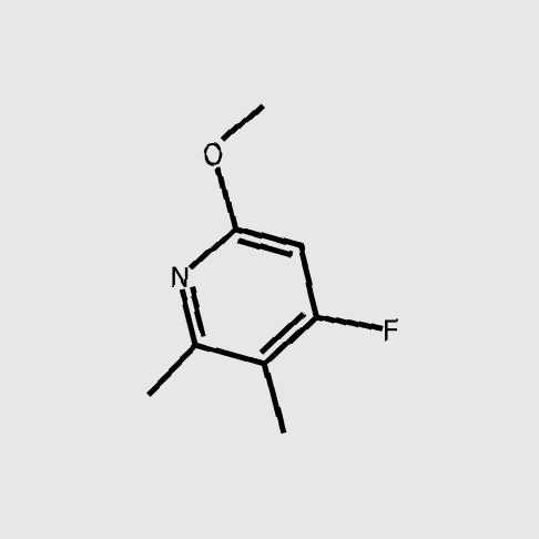 COc1cc(F)c(C)c(C)n1